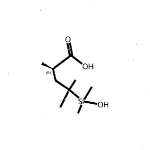 C[C@H](CC(C)(C)[Si](C)(C)O)C(=O)O